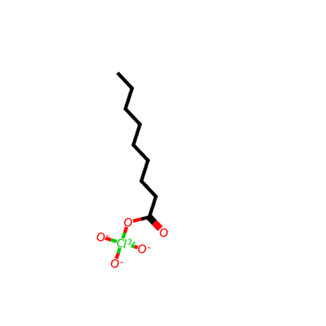 CCCCCCCCC(=O)O[Cl+3]([O-])([O-])[O-]